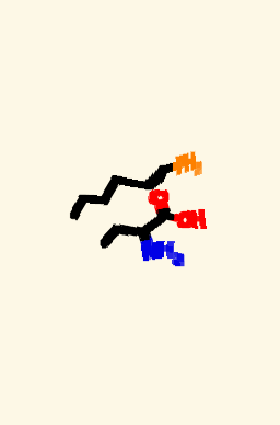 CCC(N)C(=O)O.CCCCCCP